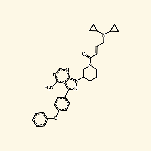 Nc1ncnc2c1c(-c1ccc(Oc3ccccc3)cc1)nn2[C@@H]1CCCN(C(=O)C=CCN(C2CC2)C2CC2)C1